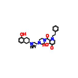 CCCN(CCN1CCN(C(=O)c2c(O)c(=O)ccn2CCc2ccccc2)CC1)[C@H]1CCc2c(O)cccc2C1